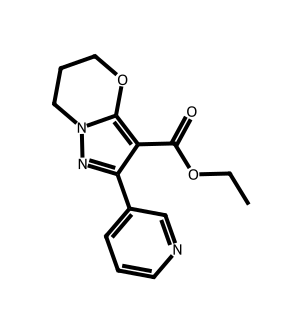 CCOC(=O)c1c(-c2cccnc2)nn2c1OCCC2